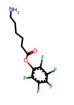 NCCCCCC(=O)Oc1c(F)c(F)c(F)c(F)c1F